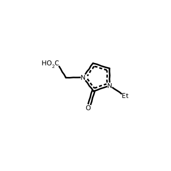 CCn1ccn(CC(=O)O)c1=O